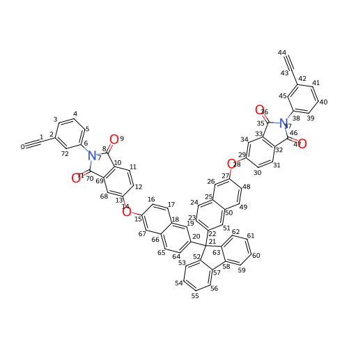 C#Cc1cccc(N2C(=O)c3ccc(Oc4ccc5cc(C6(c7ccc8cc(Oc9ccc%10c(c9)C(=O)N(c9cccc(C#C)c9)C%10=O)ccc8c7)c7ccccc7-c7ccccc76)ccc5c4)cc3C2=O)c1